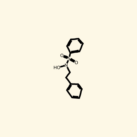 O=S(=O)(c1ccccc1)N(O)CCc1ccccc1